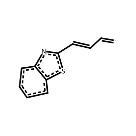 [CH]=CC=Cc1nc2ccccc2s1